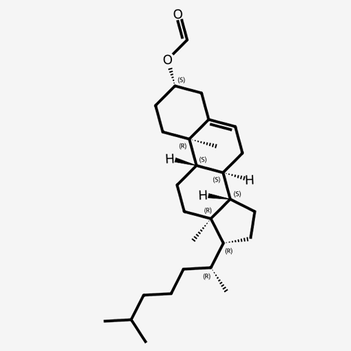 CC(C)CCC[C@@H](C)[C@H]1CC[C@H]2[C@@H]3CC=C4C[C@@H](OC=O)CC[C@]4(C)[C@H]3CC[C@]12C